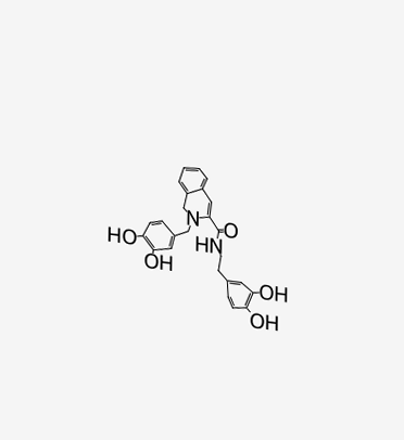 O=C(NCCc1ccc(O)c(O)c1)C1=Cc2ccccc2CN1Cc1ccc(O)c(O)c1